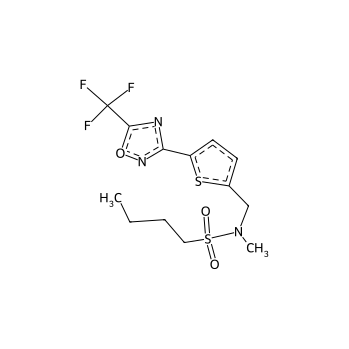 CCCCS(=O)(=O)N(C)Cc1ccc(-c2noc(C(F)(F)F)n2)s1